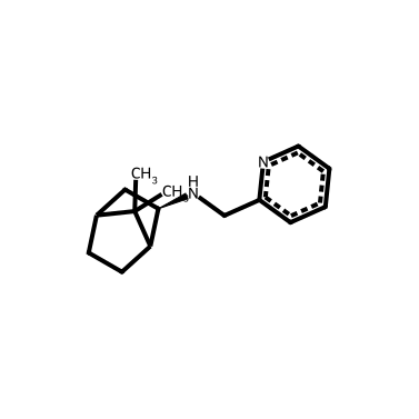 CC1(C)C2CCC1[C@H](NCc1ccccn1)C2